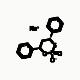 O=P1([O-])O[C@@H](c2ccccc2)C[C@H](c2ccccc2)S1.[Na+]